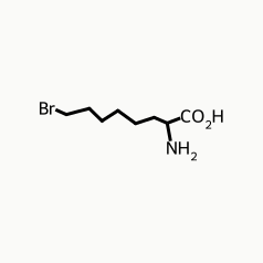 NC(CCCCCCBr)C(=O)O